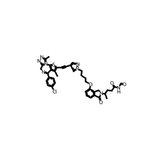 Cc1c(C#Cc2cnn(CCCCOc3cccc4c3CN(C(C)CCC(=O)NC=O)C4=O)c2)sc2c1C(c1ccc(Cl)cc1)=NCc1nnc(C)n1-2